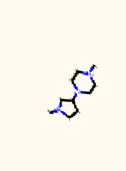 CN1CCN(C2CCN(C)C2)CC1